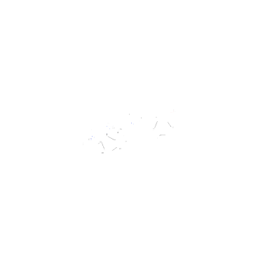 COc1cccc(CCN2CC[C@H]3[C@@H](C2)c2cccc4c2N3CCN4C)c1